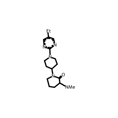 CCc1cnc(N2CCC(N3CCCC(NC)C3=O)CC2)nc1